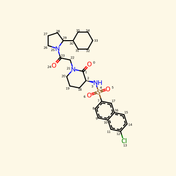 O=C1[C@@H](NS(=O)(=O)c2ccc3cc(Cl)ccc3c2)CCCN1CC(=O)N1CCCC1C1CCCCC1